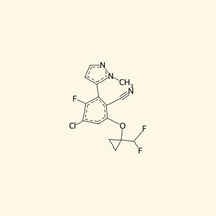 Cn1nccc1-c1c(F)c(Cl)cc(OC2(C(F)F)CC2)c1C#N